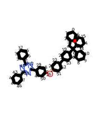 c1ccc(CC(c2ccccc2)(c2ccccc2)c2ccc(-c3ccc(Oc4ccc(-c5nc(-c6ccccc6)nc(-c6ccccc6)n5)cc4)cc3)cc2)cc1